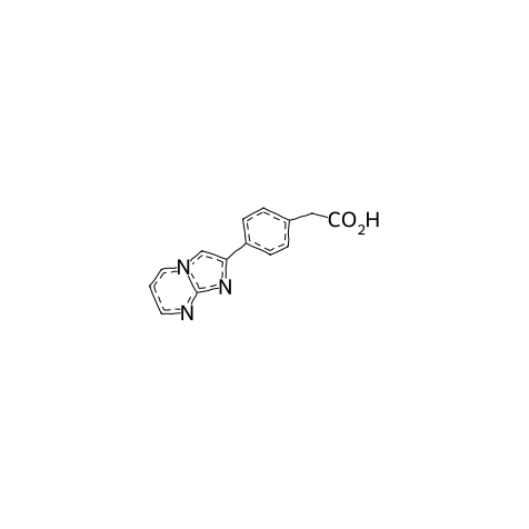 O=C(O)Cc1ccc(-c2cn3cccnc3n2)cc1